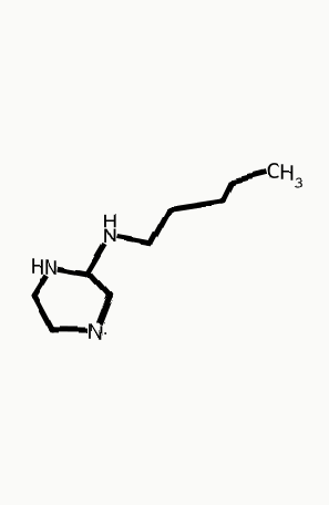 CCCCCNC1C[N]CCN1